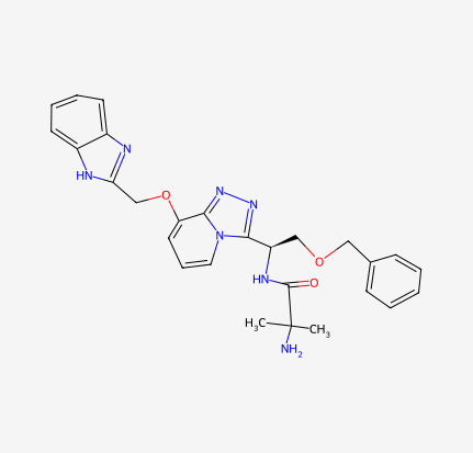 CC(C)(N)C(=O)N[C@H](COCc1ccccc1)c1nnc2c(OCc3nc4ccccc4[nH]3)cccn12